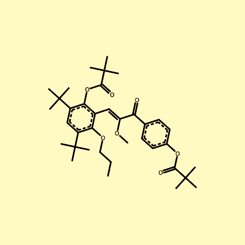 CCCOc1c(C(C)(C)C)cc(C(C)(C)C)c(OC(=O)C(C)(C)C)c1C=C(OC)C(=O)c1ccc(OC(=O)C(C)(C)C)cc1